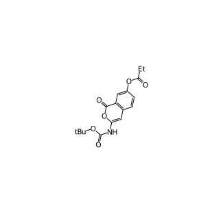 CCC(=O)Oc1ccc2cc(NC(=O)OC(C)(C)C)oc(=O)c2c1